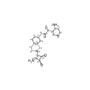 Nc1ccncc1C(=O)NCc1ccc2c(c1)CN(c1c(N)c(=O)c1=O)CC2